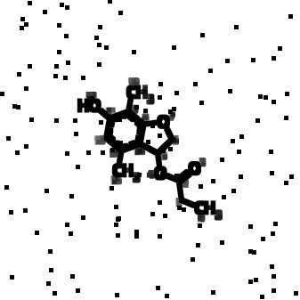 CCC(=O)OC1COc2c(C)c(O)cc(C)c21